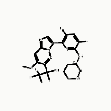 COc1cc2ncc(-c3nc(N[C@@H]4CCCNC4)c(F)cc3F)n2nc1C(C)(O)C(F)(F)F